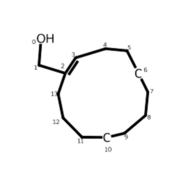 OCC1=CCCCCCCCCCC1